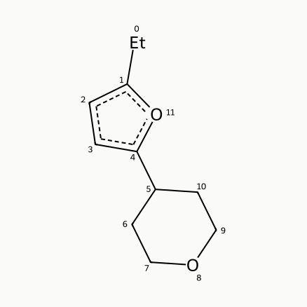 CCc1ccc(C2CCOCC2)o1